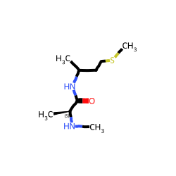 CN[C@@H](C)C(=O)NC(C)CCSC